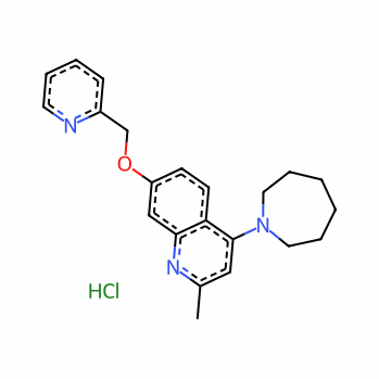 Cc1cc(N2CCCCCC2)c2ccc(OCc3ccccn3)cc2n1.Cl